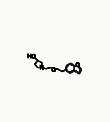 OC1CCN(CCOCCc2ccc3occc3c2)C1